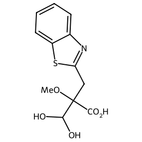 COC(Cc1nc2ccccc2s1)(C(=O)O)C(O)O